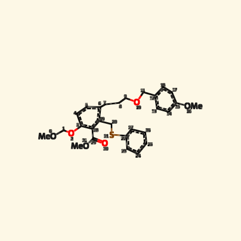 COCOc1ccc(CCCOCc2ccc(OC)cc2)c(CSc2ccccc2)c1C(=O)OC